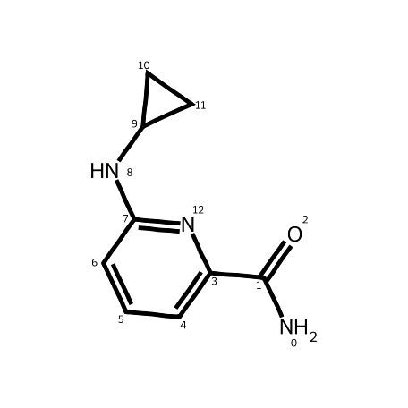 NC(=O)c1cccc(NC2CC2)n1